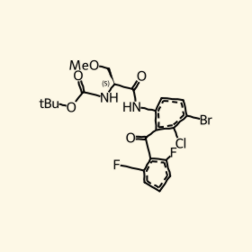 COC[C@H](NC(=O)OC(C)(C)C)C(=O)Nc1ccc(Br)c(Cl)c1C(=O)c1c(F)cccc1F